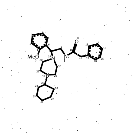 COc1ccccc1C(CNC(=O)Cc1ccccc1)N1CCN(C2CCCCC2)CC1